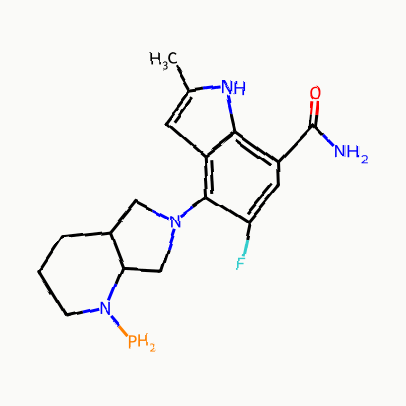 Cc1cc2c(N3CC4CCCN(P)C4C3)c(F)cc(C(N)=O)c2[nH]1